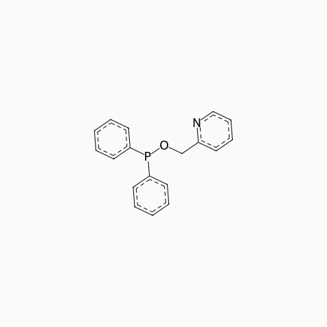 c1ccc(P(OCc2ccccn2)c2ccccc2)cc1